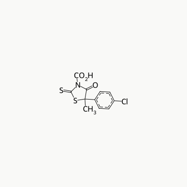 CC1(c2ccc(Cl)cc2)SC(=S)N(C(=O)O)C1=O